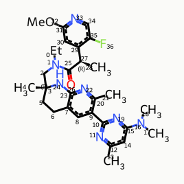 CCN(C[C@@]1(C)CCc2cc(-c3nc(C)cc(N(C)C)n3)c(C)nc2N1)C(=O)[C@H](C)c1cc(OC)ncc1F